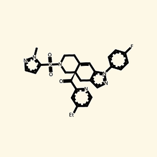 CCc1ccnc(C(=O)[C@]23Cc4cnn(-c5ccc(F)cc5)c4C=C2CCN(S(=O)(=O)c2ccnn2C)C3)c1